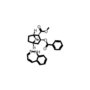 C1=Cc2ccccc2NN=C1.COC(=O)[C@H]1[C@@H](OC(=O)c2ccccc2)C[C@@H]2CC[C@H]1N2C